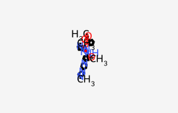 COC(=O)c1ccccc1Oc1nc(Nc2ccc(N3CCC(N4CCN(C)CC4)CC3)cc2OC)nc2ccn(C)c12